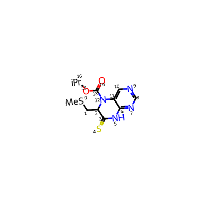 CSCC1C(=S)Nc2ncncc2N1C(=O)OC(C)C